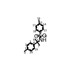 Cc1ccc(C(C)(C)NS(=O)(=O)c2ccc(C)cc2)cc1